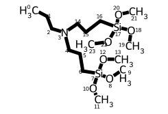 CCCN(CCC[Si](OC)(OC)OC)CCC[Si](OC)(OC)OC